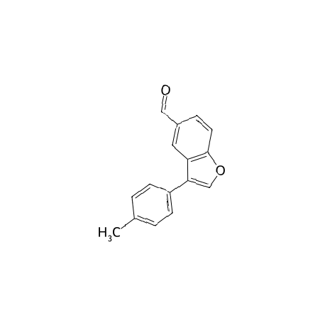 Cc1ccc(-c2coc3ccc(C=O)cc23)cc1